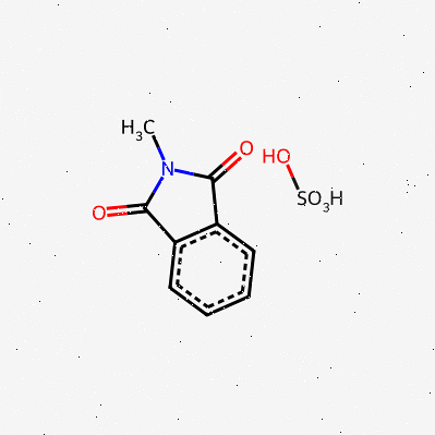 CN1C(=O)c2ccccc2C1=O.O=S(=O)(O)O